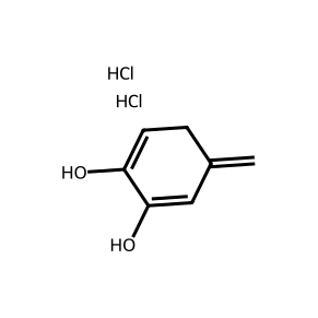 C=C1C=C(O)C(O)=CC1.Cl.Cl